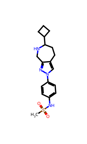 CS(=O)(=O)Nc1ccc(-n2cc3c(n2)CNC(C2CCC2)CC3)cc1